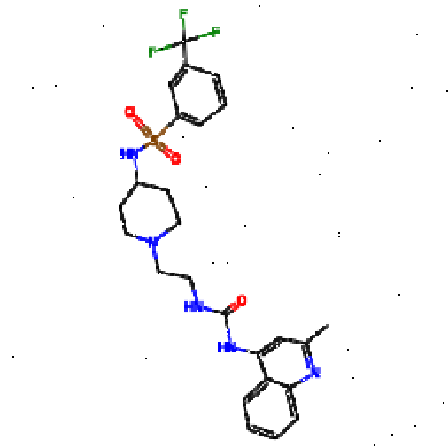 Cc1cc(NC(=O)NCCN2CCC(NS(=O)(=O)c3cccc(C(F)(F)F)c3)CC2)c2ccccc2n1